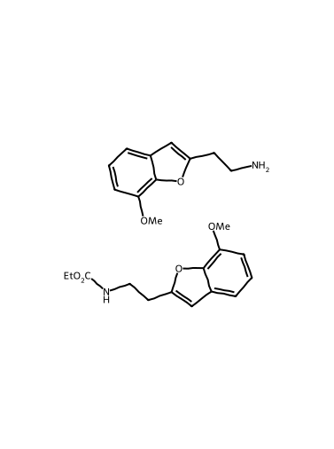 CCOC(=O)NCCc1cc2cccc(OC)c2o1.COc1cccc2cc(CCN)oc12